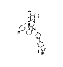 O=c1nc(SCc2ccc(F)cc2)n(Cc2nc3ccccc3n2Cc2ccc(-c3ccc(C(F)(F)F)cc3)cc2)c2c1CCC2